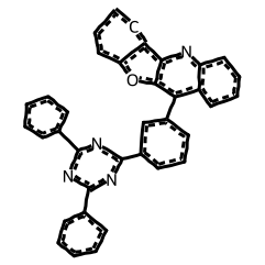 c1ccc(-c2nc(-c3ccccc3)nc(-c3cccc(-c4c5ccccc5nc5c4oc4ccccc45)c3)n2)cc1